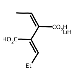 CC=C(C(=O)O)C(=CCC)C(=O)O.[LiH]